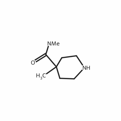 CNC(=O)C1(C)CCNCC1